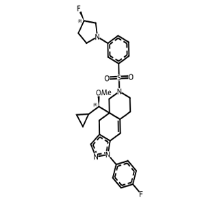 CO[C@H](C1CC1)C12Cc3cnn(-c4ccc(F)cc4)c3C=C1CCN(S(=O)(=O)c1cccc(N3CC[C@@H](F)C3)c1)C2